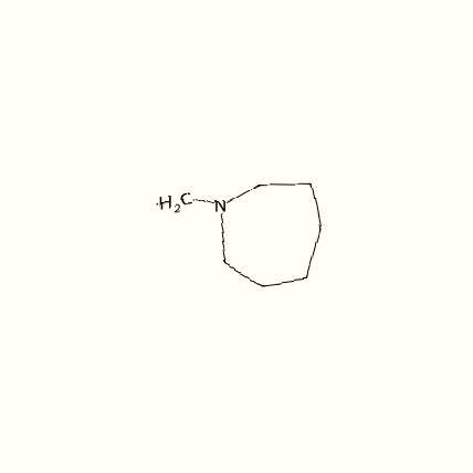 [CH2]N1CCCCCC1